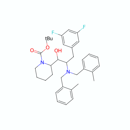 Cc1ccccc1CN(Cc1ccccc1C)C(Cc1cc(F)cc(F)c1)C(O)C1CCCCN1C(=O)OC(C)(C)C